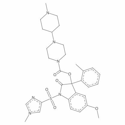 COc1ccc2c(c1)C(OC(=O)N1CCN(C3CCN(C)CC3)CC1)(c1ccccc1C)C(=O)N2S(=O)(=O)c1cn(C)cn1